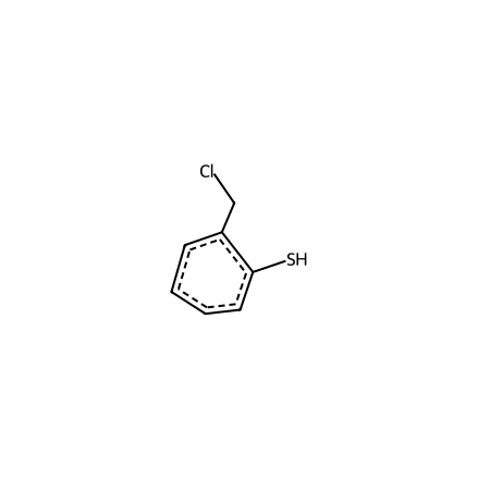 Sc1ccccc1CCl